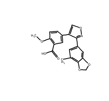 COc1ccc(-c2conc2-c2cc(C)c3c(c2)OCO3)cc1C(=O)O